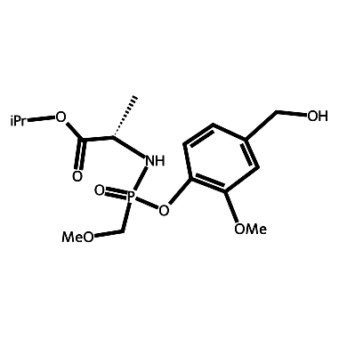 COCP(=O)(N[C@@H](C)C(=O)OC(C)C)Oc1ccc(CO)cc1OC